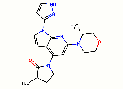 CC1CCN(c2cc(N3CCOC[C@H]3C)nc3c2ccn3-c2cc[nH]n2)C1=O